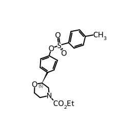 CCOC(=O)N1CCO[C@@H](c2ccc(OS(=O)(=O)c3ccc(C)cc3)cc2)C1